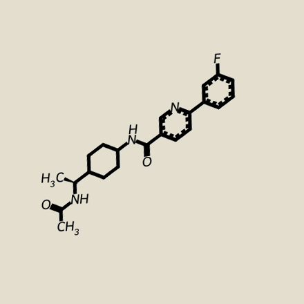 CC(=O)N[C@@H](C)C1CCC(NC(=O)c2ccc(-c3cccc(F)c3)nc2)CC1